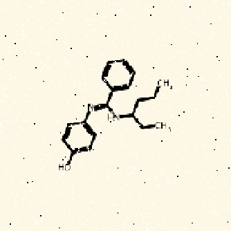 CCCC(CC)NC(=Nc1ccc(O)cc1)c1ccccc1